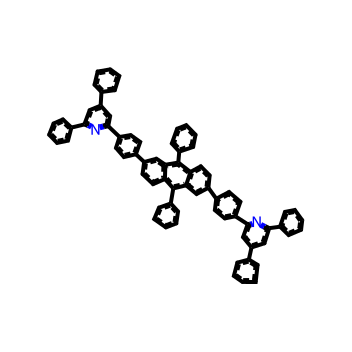 c1ccc(-c2cc(-c3ccccc3)nc(-c3ccc(-c4ccc5c(-c6ccccc6)c6cc(-c7ccc(-c8cc(-c9ccccc9)cc(-c9ccccc9)n8)cc7)ccc6c(-c6ccccc6)c5c4)cc3)c2)cc1